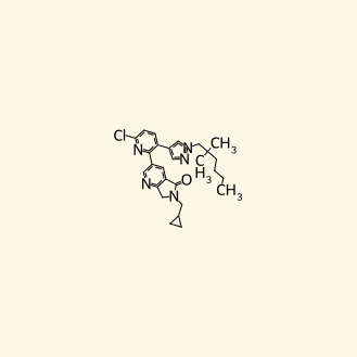 CCCCC(C)(C)Cn1cc(-c2ccc(Cl)nc2-c2cnc3c(c2)C(=O)N(CC2CC2)C3)cn1